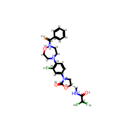 O=C(NC[C@H]1CN(c2ccc(N3CCON(C(=S)c4ccccc4)CC3)c(F)c2)C(=O)O1)C(F)F